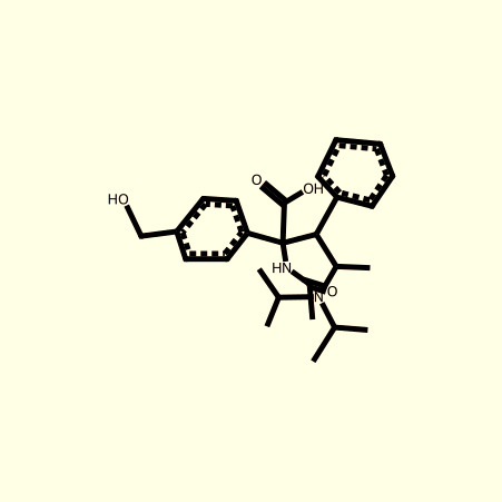 CC(=O)NC(C(=O)O)(c1ccc(CO)cc1)C(c1ccccc1)C(C)N(C(C)C)C(C)C